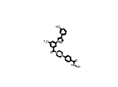 CCCNC(=O)c1ccc(N2CCN(C(=O)c3cc(-n4cc(-c5cccc(O)c5)cn4)cc(C(F)(F)F)c3)CC2)cc1